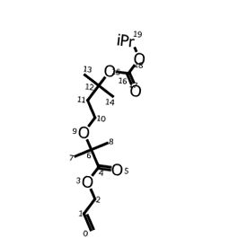 C=CCOC(=O)C(C)(C)OCCC(C)(C)OC(=O)OC(C)C